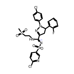 CS(=O)(=O)CCN/C(=N\S(=O)(=O)c1ccc(Cl)nc1)C1=NN(c2ccc(Cl)cc2)C(c2ccccc2F)C1